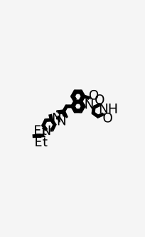 CCC(C)(CC)CN1CCC(C)(n2cc(Cc3ccc4c5c(cccc35)C(=O)N4C3CCC(=O)NC3=O)cn2)CC1